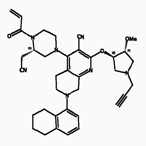 C#CCN1C[C@@H](OC)[C@H](Oc2nc3c(c(N4CCN(C(=O)C=C)[C@@H](CC#N)C4)c2C#N)CCN(c2cccc4c2CCCC4)C3)C1